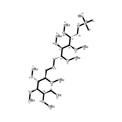 CCCCO[C@@H]([C@H](OCCCC)[C@@H](COC[C@@H](OCCCC)[C@@H](OCCCC)[C@H](OCCCC)[C@@H](CO[Si](C)(C)C(C)(C)C)OCCCC)OCCCC)[C@@H](CO)OCCCC